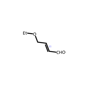 CCOC/C=C/[C]=O